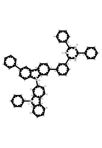 c1ccc(-c2ccc3c(c2)c2ccc(-c4cccc(-c5nc(-c6ccccc6)nc(-c6ccccc6)n5)c4)cc2n3-c2ccc3c4ccccc4n(-c4ccccc4)c3c2)cc1